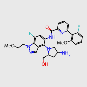 COCCn1ncc2c(N3C[C@@H](N)C[C@H]3CO)c(NC(=O)c3cccc(-c4c(F)cccc4OC)n3)cc(F)c21